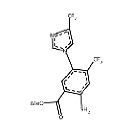 COC(=O)c1cc(-n2cnc(C(F)(F)F)c2)c(C(F)(F)F)cc1N